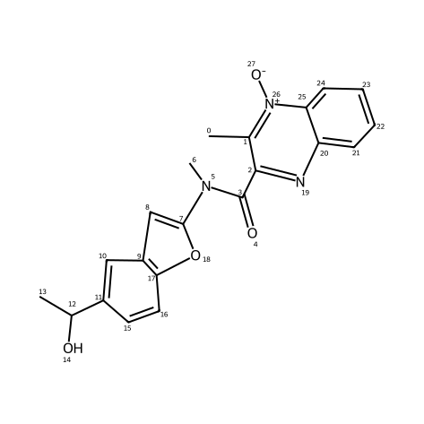 Cc1c(C(=O)N(C)c2cc3cc(C(C)O)ccc3o2)nc2ccccc2[n+]1[O-]